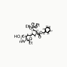 CCCN(C(=O)CC)[C@H](CCCCN(CCP(=O)(OCC)OCC)C(=O)OCc1ccccc1)C(=O)O